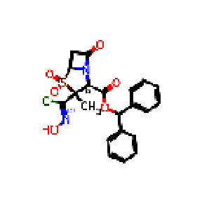 CC1(/C(Cl)=N/O)[C@H](C(=O)OC(c2ccccc2)c2ccccc2)N2C(=O)CC2S1(=O)=O